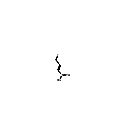 OB(O)C=CCCl